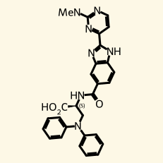 CNc1nccc(-c2nc3cc(C(=O)N[C@@H](CN(c4ccccc4)c4ccccc4)C(=O)O)ccc3[nH]2)n1